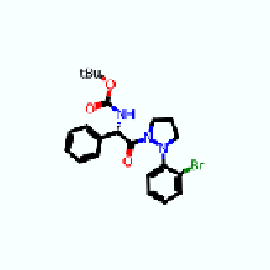 CC(C)(C)OC(=O)N[C@H](C(=O)N1CCCN1c1ccccc1Br)c1ccccc1